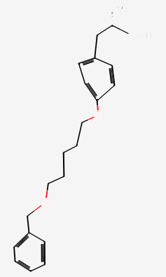 CO[C@@H](Cc1ccc(OCCCCCOCc2ccccc2)cc1)C(=O)O